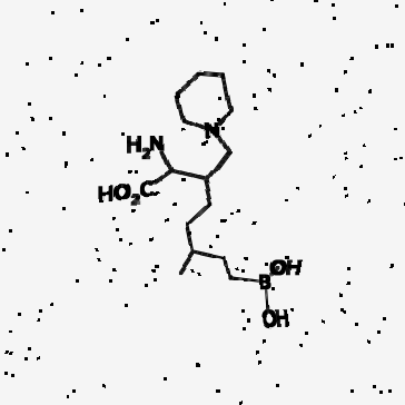 CC(CCB(O)O)CCC(CN1CCCCC1)C(N)C(=O)O